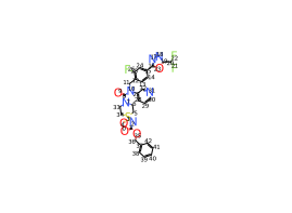 O=C(N=S1(=O)CCN(C(=O)N(Cc2ccc(-c3nnc(C(F)F)o3)cc2F)c2cccnc2)CC1)OCc1ccccc1